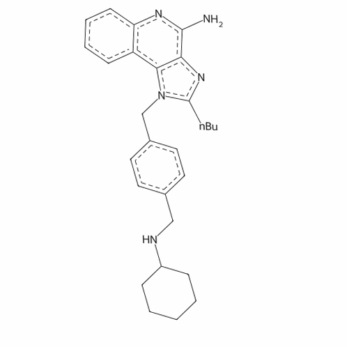 CCCCc1nc2c(N)nc3ccccc3c2n1Cc1ccc(CNC2CCCCC2)cc1